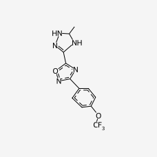 CC1NN=C(c2nc(-c3ccc(OC(F)(F)F)cc3)no2)N1